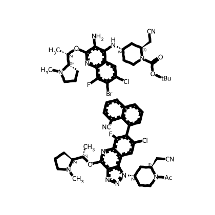 CC(=O)N1CC[C@H](n2nnc3c(O[C@@H](C)[C@@H]4CCCN4C)nc4c(F)c(-c5cccc6cccc(C#N)c56)c(Cl)cc4c32)C[C@H]1CC#N.C[C@H](Oc1nc2c(F)c(Br)c(Cl)cc2c(N[C@H]2CCN(C(=O)OC(C)(C)C)[C@H](CC#N)C2)c1N)[C@@H]1CCCN1C